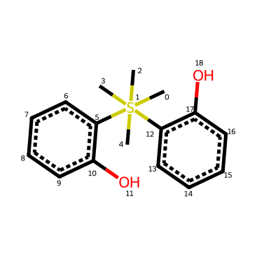 CS(C)(C)(C)(c1ccccc1O)c1ccccc1O